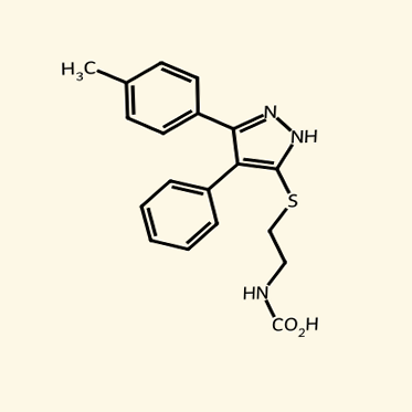 Cc1ccc(-c2n[nH]c(SCCNC(=O)O)c2-c2ccccc2)cc1